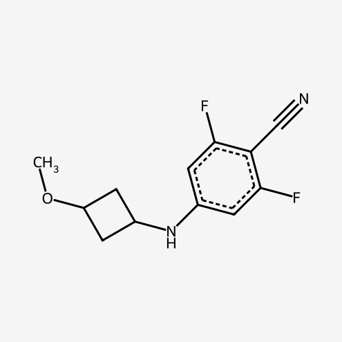 COC1CC(Nc2cc(F)c(C#N)c(F)c2)C1